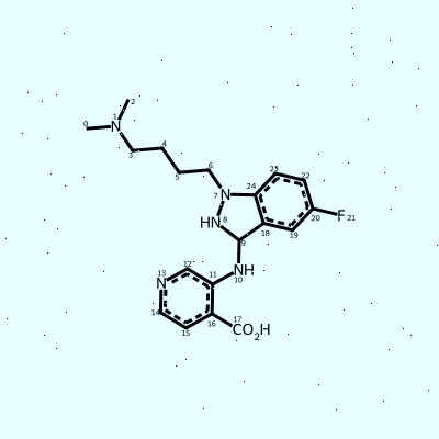 CN(C)CCCCN1NC(Nc2cnccc2C(=O)O)c2cc(F)ccc21